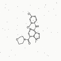 Cn1ccc2c(Nc3ccc(Cl)cc3Cl)ncc(C(=O)N3CCOCC3)c21